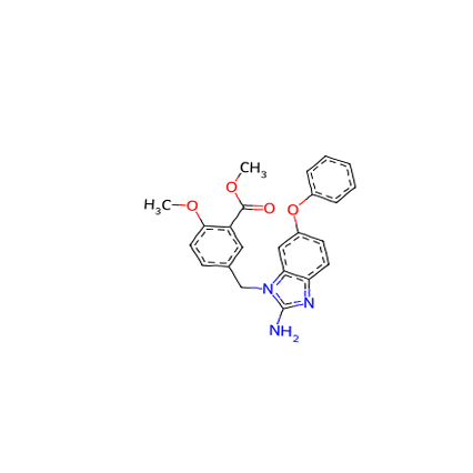 COC(=O)c1cc(Cn2c(N)nc3ccc(Oc4ccccc4)cc32)ccc1OC